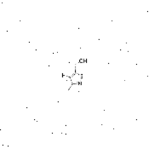 Cc1nsc(CO)c1I